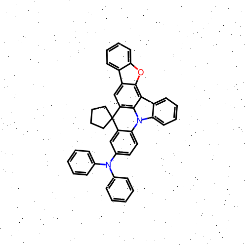 c1ccc(N(c2ccccc2)c2ccc3c(c2)C2(CCCC2)c2cc4c5ccccc5oc4c4c5ccccc5n-3c24)cc1